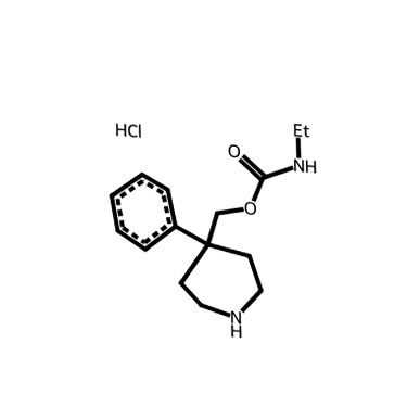 CCNC(=O)OCC1(c2ccccc2)CCNCC1.Cl